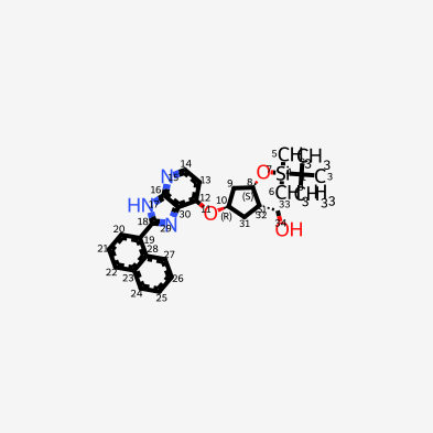 CC(C)(C)[Si](C)(C)O[C@H]1C[C@H](Oc2ccnc3[nH]c(-c4cccc5ccccc45)nc23)C[C@H]1CO